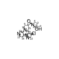 CC1(O)CCN(C(=O)C2CCN(c3cnccc3-n3cc(Cl)cn3)CC2)C1